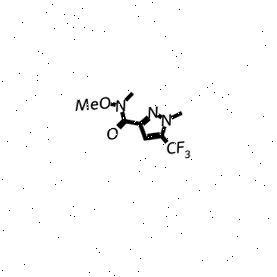 CON(C)C(=O)c1cc(C(F)(F)F)n(C)n1